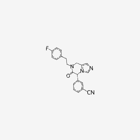 N#Cc1cccc(C2C(=O)N(CCc3ccc(F)cc3)Cc3cncn32)c1